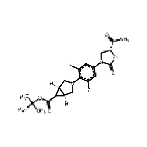 CC(C)(C)OC(=O)C1[C@H]2CN(c3c(F)cc(N4C[C@H](C(N)=O)OC4=O)cc3F)C[C@@H]12